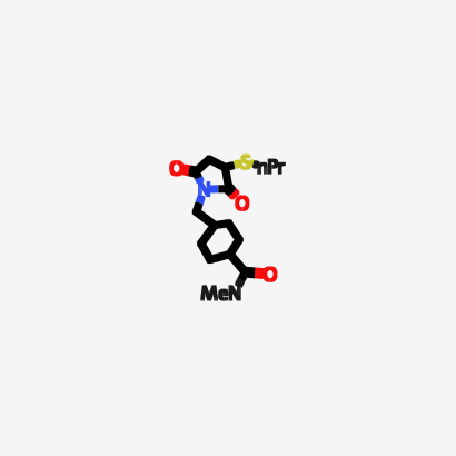 CCCSC1CC(=O)N(CC2CCC(C(=O)NC)CC2)C1=O